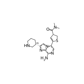 CN(C)C(=O)C1C=C(c2cnc(N)c3nc([C@H]4CCCNC4)cn23)SC1